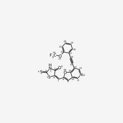 O=C1NC(=S)SC1=Cc1cc2cncc(C#Cc3ccccc3OC(F)(F)F)c2o1